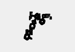 Cc1cccc2sc(N3CCC4(C=C(c5c(C(F)F)cnn5-c5ccccc5OC(F)(F)F)C4)CC3)nc12